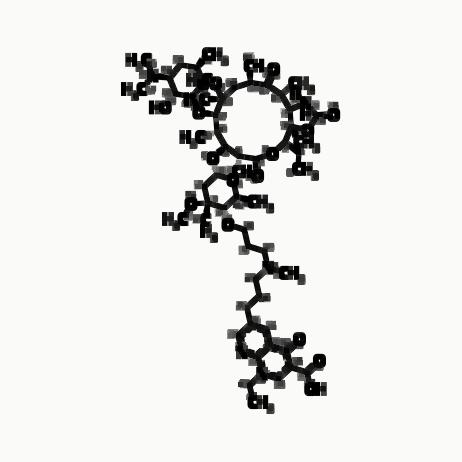 CC[C@H]1OC(=O)[C@H](C)[C@@H](O[C@H]2C[C@@](C)(OC)[C@@H](OCCCN(C)CCCc3cnc4c(c3)c(=O)c(C(=O)O)cn4CC)[C@H](C)O2)[C@H](C)[C@@H](O[C@@H]2O[C@H](C)C[C@H](N(C)C)[C@H]2O)[C@](C)(OC)C[C@@H](C)C(=O)C(C)[C@H]2NC(=O)O[C@@]21C